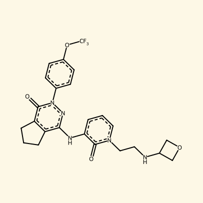 O=c1c(Nc2nn(-c3ccc(OC(F)(F)F)cc3)c(=O)c3c2CCC3)cccn1CCNC1COC1